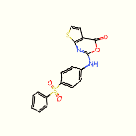 O=c1oc(Nc2ccc(S(=O)(=O)c3ccccc3)cc2)nc2sccc12